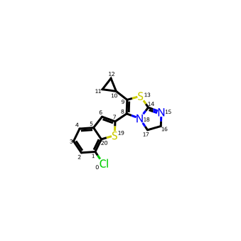 Clc1cccc2cc(C3=C(C4CC4)SC4=NCCN43)sc12